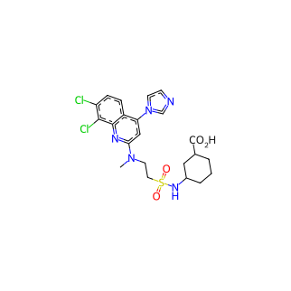 CN(CCS(=O)(=O)NC1CCCC(C(=O)O)C1)c1cc(-n2ccnc2)c2ccc(Cl)c(Cl)c2n1